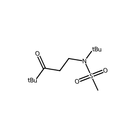 CC(C)(C)C(=O)CCN(C(C)(C)C)S(C)(=O)=O